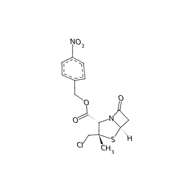 C[C@]1(CCl)S[C@@H]2CC(=O)N2[C@H]1C(=O)OCc1ccc([N+](=O)[O-])cc1